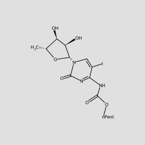 CCCCCOC(=O)Nc1nc(=O)n([C@@H]2O[C@H](C)[C@@H](O)[C@H]2O)cc1I